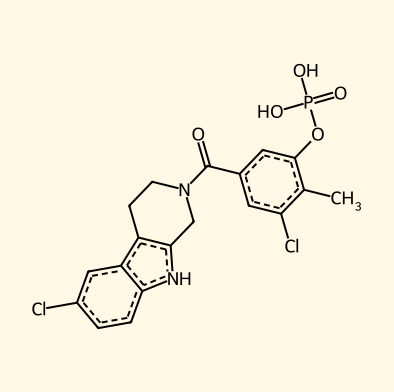 Cc1c(Cl)cc(C(=O)N2CCc3c([nH]c4ccc(Cl)cc34)C2)cc1OP(=O)(O)O